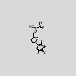 Cc1cn([C@H]2CC[C@@H](COP(O)N(C(C)C)C(C)C)O2)c(=O)[nH]c1=O